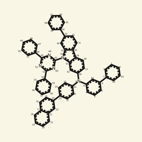 c1ccc(-c2cccc(N(c3ccc(-c4ccc5ccccc5c4)cc3)c3ccc4c5ccc(-c6ccccc6)cc5n(-c5nc(-c6ccccc6)nc(-c6ccccc6)n5)c4c3)c2)cc1